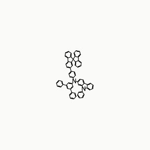 c1ccc(-c2cc(-c3ccccc3)cc(N(c3ccc(-c4ccc5c(c4)C4(c6ccccc6-c6ccccc64)c4ccccc4-5)cc3)c3ccc4c5ccccc5n(-c5ccccc5)c4c3)c2)cc1